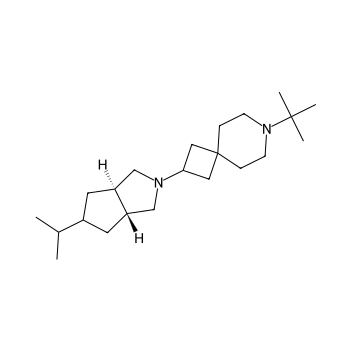 CC(C)C1C[C@H]2CN(C3CC4(CCN(C(C)(C)C)CC4)C3)C[C@@H]2C1